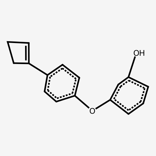 Oc1cccc(Oc2ccc(C3=CCC3)cc2)c1